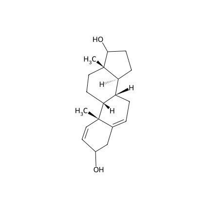 C[C@]12C=CC(O)CC1=CC[C@@H]1[C@H]2CC[C@]2(C)C(O)CC[C@@H]12